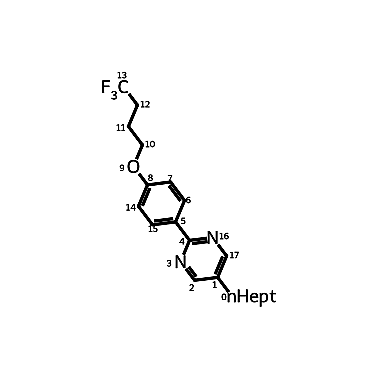 CCCCCCCc1cnc(-c2ccc(OCCCC(F)(F)F)cc2)nc1